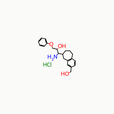 Cl.NC(C1CCCc2ccc(CO)cc2C1)[C@H](O)COc1ccccc1